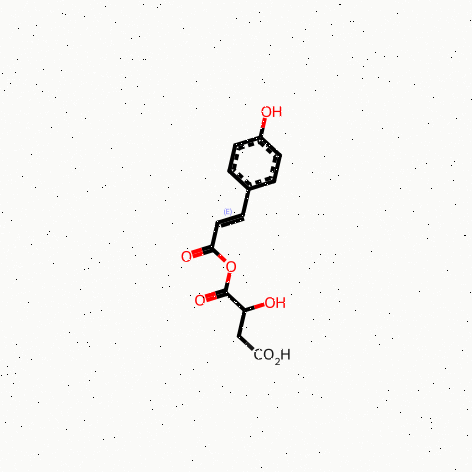 O=C(O)CC(O)C(=O)OC(=O)/C=C/c1ccc(O)cc1